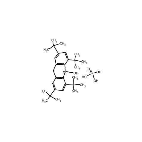 CC(C)(C)c1cc2[c](c(C(C)(C)C)c1)[Al]([OH])[c]1c(cc(C(C)(C)C)cc1C(C)(C)C)C2.O=P(O)(O)O